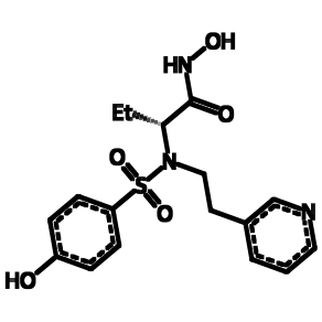 CC[C@H](C(=O)NO)N(CCc1cccnc1)S(=O)(=O)c1ccc(O)cc1